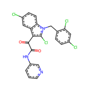 O=C(Nc1cccnc1)C(=O)c1c(Cl)n(Cc2ccc(Cl)cc2Cl)c2ccc(Cl)cc12